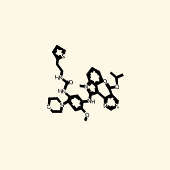 COc1cc(N2CCOCC2)c(NC(=O)NCCc2cccs2)cc1Nc1c(-c2ncncc2C(=O)OC(C)C)c2ccccc2n1C